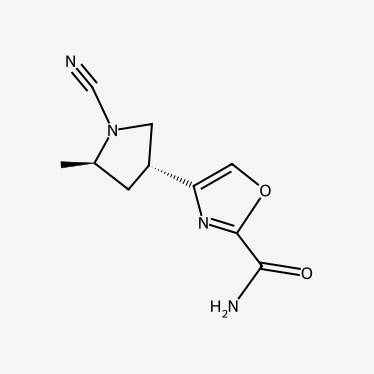 C[C@@H]1C[C@@H](c2coc(C(N)=O)n2)CN1C#N